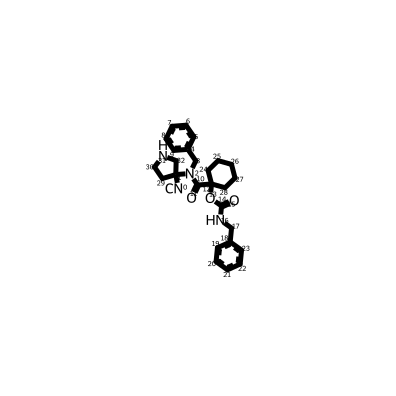 N#CC1(N(Cc2ccccc2)C(=O)C2(OC(=O)NCc3ccccc3)CCCCC2)CCNC1